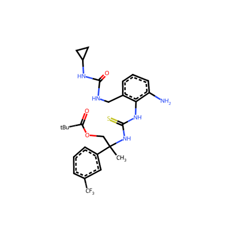 CC(C)(C)C(=O)OCC(C)(NC(=S)Nc1c(N)cccc1CNC(=O)NC1CC1)c1cccc(C(F)(F)F)c1